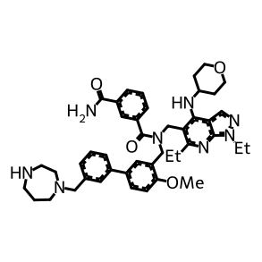 CCc1nc2c(cnn2CC)c(NC2CCOCC2)c1CN(Cc1cc(-c2cccc(CN3CCCNCC3)c2)ccc1OC)C(=O)c1cccc(C(N)=O)c1